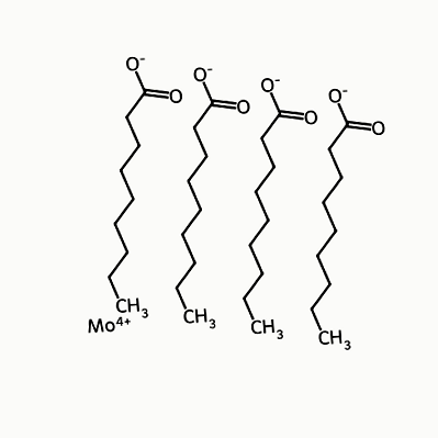 CCCCCCCCC(=O)[O-].CCCCCCCCC(=O)[O-].CCCCCCCCC(=O)[O-].CCCCCCCCC(=O)[O-].[Mo+4]